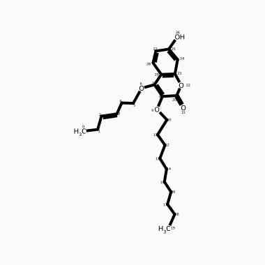 CCC=CCCOc1c(OCCCCCCCCCC)c(=O)oc2cc(O)ccc12